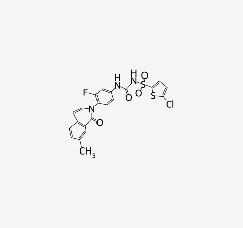 Cc1ccc2ccn(-c3ccc(NC(=O)NS(=O)(=O)c4ccc(Cl)s4)cc3F)c(=O)c2c1